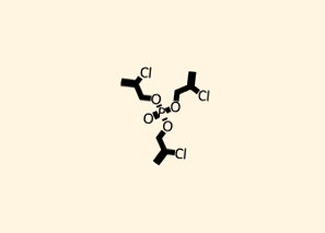 C=C(Cl)COP(=O)(OCC(=C)Cl)OCC(=C)Cl